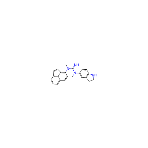 CN(C(=N)N(C)c1ccc2cccc3c2c1C=C3)c1ccc2c(c1)CCN2